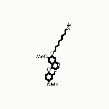 CNc1ccc(Oc2ccnc3cc(OCCCCCCCCSC(C)=O)c(OC)cc23)c(F)c1